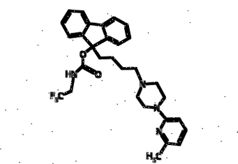 Cc1cccc(N2CCN(CCCCC3(OC(=O)NCC(F)(F)F)c4ccccc4-c4ccccc43)CC2)n1